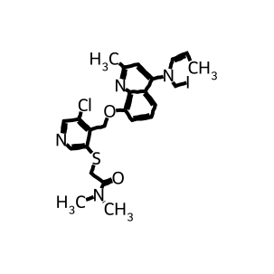 C/C=C\N(CI)c1cc(C)nc2c(OCc3c(Cl)cncc3SCC(=O)N(C)C)cccc12